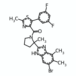 Cc1nc(C(=O)N2CCCC2(C)c2nc3c(C)c(C)c(Br)cc3[nH]2)c(-c2cc(F)cc(F)c2)s1